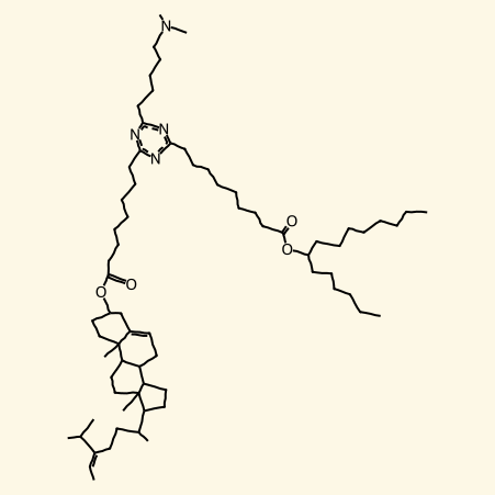 C/C=C(\CCC(C)C1CCC2C3CC=C4CC(OC(=O)CCCCCCCc5nc(CCCCCCCCC(=O)OC(CCCCCC)CCCCCCCC)nc(CCCCCN(C)C)n5)CCC4(C)C3CCC12C)C(C)C